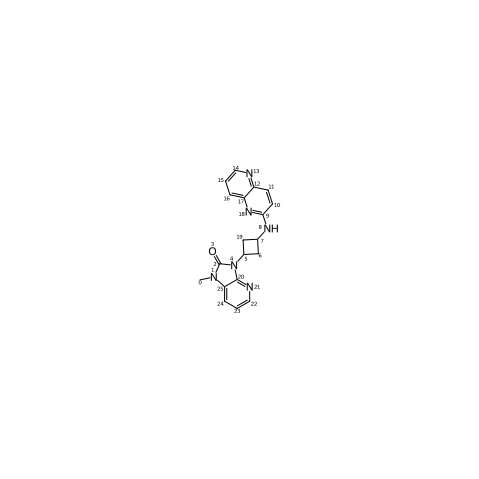 Cn1c(=O)n(C2CC(Nc3ccc4ncccc4n3)C2)c2ncccc21